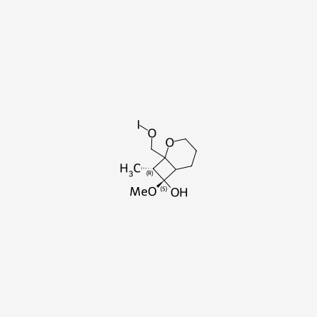 CO[C@]1(O)C2CCCOC2(COI)[C@H]1C